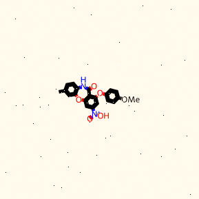 COc1ccc(Oc2cc([N+](=O)O)cc3c2C(=O)Nc2ccc(C)cc2O3)cc1